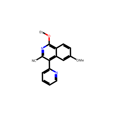 CCOc1nc(C#N)c(-c2ccccn2)c2cc(OC)ccc12